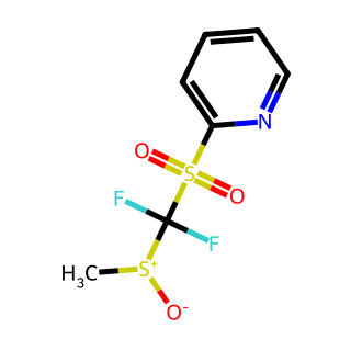 C[S+]([O-])C(F)(F)S(=O)(=O)c1ccccn1